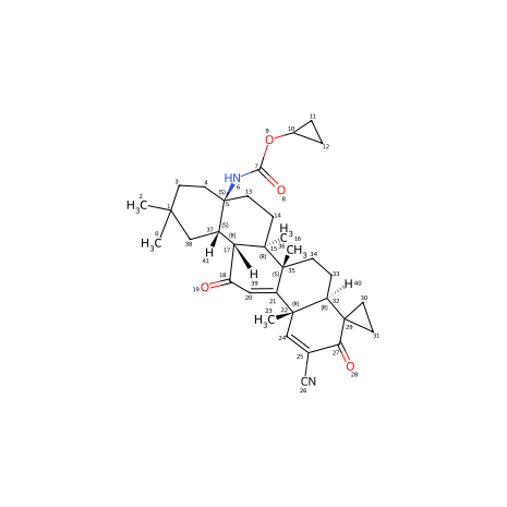 CC1(C)CC[C@]2(NC(=O)OC3CC3)CC[C@]3(C)[C@H](C(=O)C=C4[C@@]5(C)C=C(C#N)C(=O)C6(CC6)[C@@H]5CC[C@]43C)[C@@H]2C1